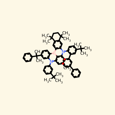 Cc1cc2c3c(c1)N(c1ccc(C(C)(C)C)cc1-c1cccc(-c4ccccc4)c1)c1cc4c(cc1B3c1ccc(C(C)(C)c3ccccc3)cc1N2c1cccc(C(C)(C)C)c1)C(C)(C)CCC4(C)C